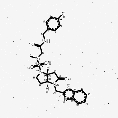 CN(CC(=O)NCc1ccc(Cl)cc1)S(=O)(=O)N1CC[C@H]2[C@H]1CC(=O)N2Cc1nc2ccccc2s1